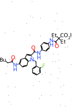 CCC(CC)(C(=O)O)C(=O)Nc1ccc(NC(=O)c2cc3cc(NC(=O)CC(C)(C)C)ccc3n2Cc2ccccc2F)cc1